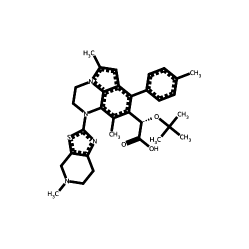 Cc1ccc(-c2c([C@H](OC(C)(C)C)C(=O)O)c(C)c3c4c2cc(C)n4CCN3c2nc3c(s2)CN(C)CC3)cc1